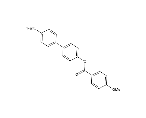 CCCCCc1ccc(-c2ccc(OC(=O)c3ccc(OC)cc3)cc2)cc1